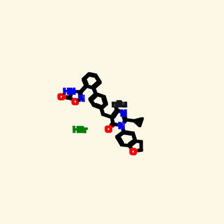 Br.CCCCc1nc(C2CC2)n(-c2ccc3c(c2)CCO3)c(=O)c1Cc1ccc(-c2ccccc2-c2noc(=O)[nH]2)cc1